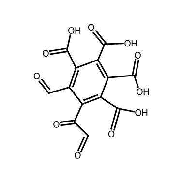 O=CC(=O)c1c(C=O)c(C(=O)O)c(C(=O)O)c(C(=O)O)c1C(=O)O